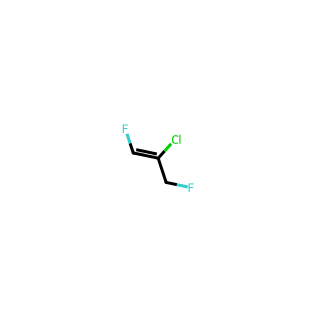 FC=C(Cl)CF